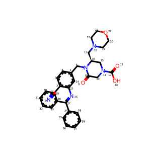 N#Cc1ccc(CN2C(=O)CN(C(=O)O)C[C@@H]2CN2CCOCC2)cc1N=C(c1ccccc1)c1ccccc1